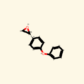 c1ccc(Oc2ccc([C@@H]3CO3)cc2)cc1